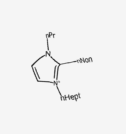 CCCCCCCCCc1n(CCC)cc[n+]1CCCCCCC